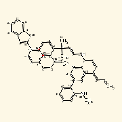 C=C/C=C(\C=C/CNC=CC(C)(C)c1ccccc1C(=C)/C=C\c1ccc(-c2cc3ccccc3s2)cc1)c1cccc(-c2ccccc2NC)c1